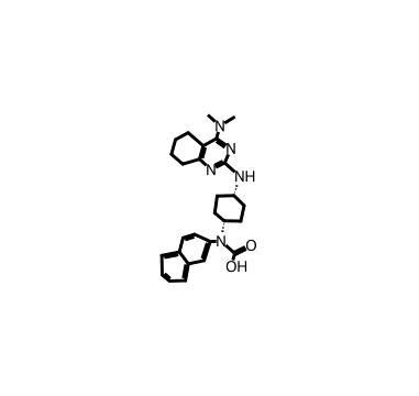 CN(C)c1nc(N[C@H]2CC[C@@H](N(C(=O)O)c3ccc4ccccc4c3)CC2)nc2c1CCCC2